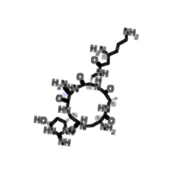 C[C@@H]1NC(=O)[C@@H](N)CNC(=O)[C@H](C2C[C@@H](O)NC(=N)N2)NC(=O)/C(=C/N)NC(=O)[C@H](CNC(=O)C[C@@H](N)CCCN)NC1=O